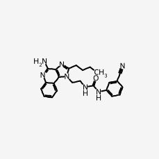 CCCCc1nc2c(N)nc3ccccc3c2n1CCNC(=O)Nc1cccc(C#N)c1